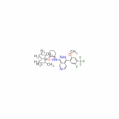 COc1cc(C(F)(F)F)c(F)cc1-c1nnc(N[C@@H]2CCCC[C@H]2O[Si](C(C)C)(C(C)C)C(C)C)c2cnccc12